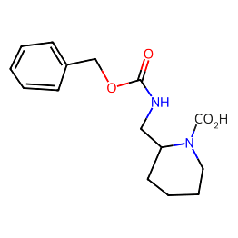 O=C(NCC1CCCCN1C(=O)O)OCc1ccccc1